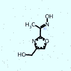 C/C(=N\O)c1nc(CO)co1